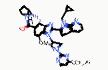 COc1cc(C(=O)N2CC3CCC2[C@@H]3N)cc2nc(-c3cc4cccnc4n3CC3CC3)n(C3CN(c4nccc(C(=O)O)n4)C3)c12